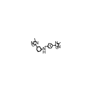 Cc1noc(-c2cccc(NCC34CCC(c5nc(C)no5)(CC3)CC4)c2)n1